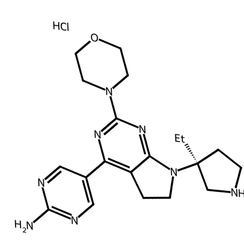 CC[C@]1(N2CCc3c(-c4cnc(N)nc4)nc(N4CCOCC4)nc32)CCNC1.Cl